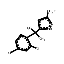 CCOC(=O)c1cc(C(C)(C)c2ccc(Cl)cc2Cl)[nH]n1